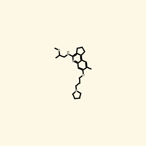 COC(C)CNc1nc2cc(OCCCN3CCCC3)c(C)cc2c2c1CCC2